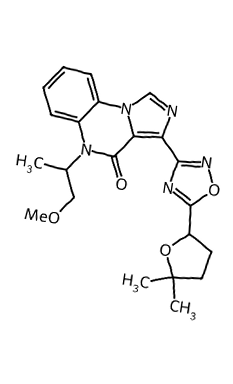 COCC(C)n1c(=O)c2c(-c3noc(C4CCC(C)(C)O4)n3)ncn2c2ccccc21